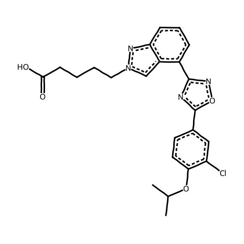 CC(C)Oc1ccc(-c2nc(-c3cccc4nn(CCCCC(=O)O)cc34)no2)cc1Cl